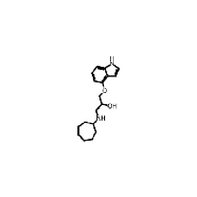 OC(CNC1CCCCCC1)COc1cccc2[nH]ccc12